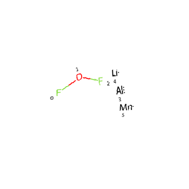 FOF.[Al].[Li].[Mn]